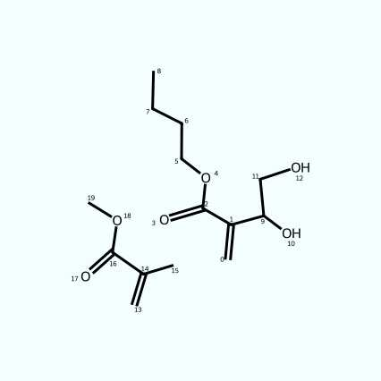 C=C(C(=O)OCCCC)C(O)CO.C=C(C)C(=O)OC